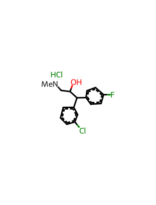 CNCC(O)C(c1ccc(F)cc1)c1cccc(Cl)c1.Cl